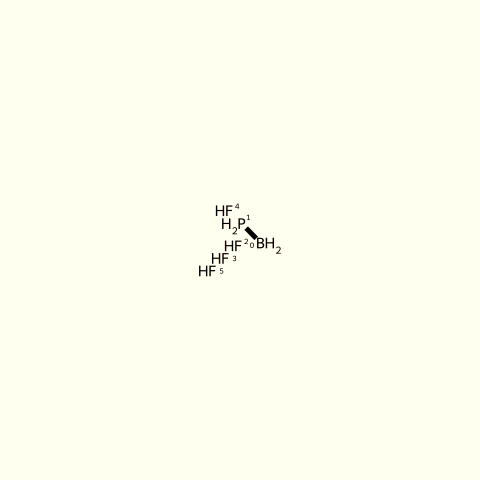 BP.F.F.F.F